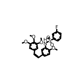 COc1ccc(/C=C\c2cc(OC)c(OC)c(OC)c2)cc1NS(=O)(=O)c1cccc(F)c1